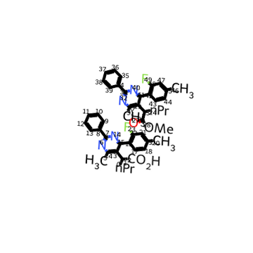 CCCC(C(=O)O)c1c(C)nc(-c2ccccc2)nc1-c1ccc(C)cc1F.CCCC(C(=O)OC)c1c(C)nc(-c2ccccc2)nc1-c1ccc(C)cc1F